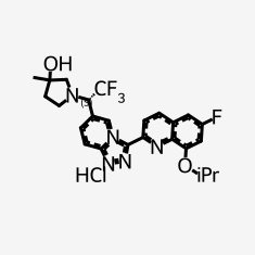 CC(C)Oc1cc(F)cc2ccc(-c3nnc4ccc([C@H](N5CCC(C)(O)C5)C(F)(F)F)cn34)nc12.Cl